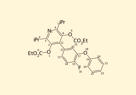 CCOC(=O)Oc1c(C(C)C)nc(C(C)C)c(OC(=O)OCC)c1-c1ccc(F)c(Oc2ccccc2)c1